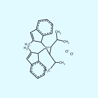 CC1=Cc2ccccc2[CH]1[Zr+2]1([CH]2C(C)=Cc3ccccc32)[CH](C(C)C)[CH]1C(C)C.[Cl-].[Cl-]